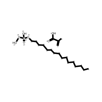 C=C(C)C(=O)O.CCCCCCCCCCCCCCCCOP(=O)(O)OO